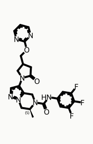 C[C@H]1Cn2ncc(N3CC(COc4ncccn4)CC3=O)c2CN1C(=O)Nc1cc(F)c(F)c(F)c1